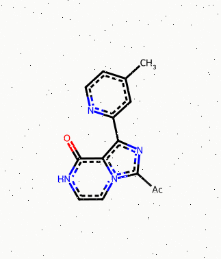 CC(=O)c1nc(-c2cc(C)ccn2)c2c(=O)[nH]ccn12